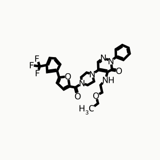 CCOCCNc1c(N2CCN(C(=O)c3ccc(-c4cccc(C(F)(F)F)c4)o3)CC2)cnn(-c2ccccc2)c1=O